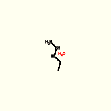 BBBCC.O